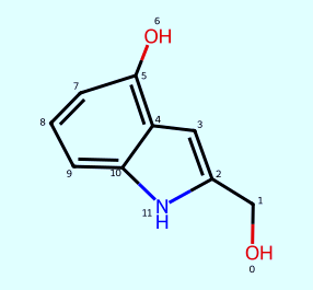 OCc1cc2c(O)cccc2[nH]1